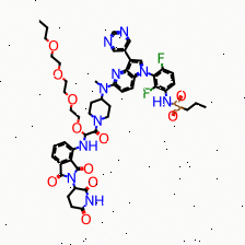 CCCOCCOCCOCCOC(Nc1cccc2c1C(=O)N(C1CCC(=O)NC1=O)C2=O)C(=O)N1CCC(N(C)c2ccc3c(n2)c(-c2cncnc2)cn3-c2c(F)ccc(NS(=O)(=O)CCC)c2F)CC1